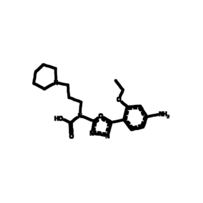 CCOc1cc(N)ccc1-c1nnc(N(CCCN2CCCCC2)C(=O)O)o1